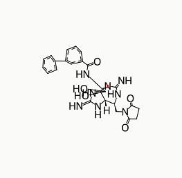 N=C1N[C@H]2[C@H](CN3C(=O)CCC3=O)NC(=N)N3CC(NC(=O)c4cccc(-c5ccccc5)c4)C(O)(O)[C@]23N1